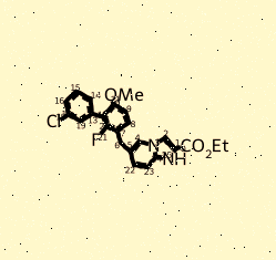 CCOC(=O)C1=CN2C=C(Cc3ccc(OC)c(-c4cccc(Cl)c4)c3F)C=CC2N1